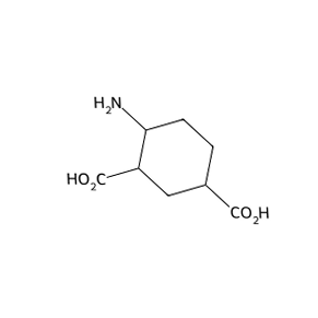 NC1CCC(C(=O)O)CC1C(=O)O